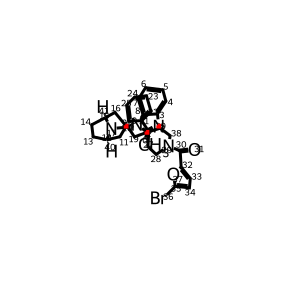 Cc1nc2ccccc2n1[C@H]1C[C@H]2CC[C@@H](C1)N2CCC1(c2ccccc2)CCN(C(=O)c2ccc(Br)o2)CC1